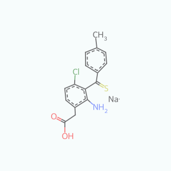 Cc1ccc(C(=S)c2c(Cl)ccc(CC(=O)O)c2N)cc1.[Na]